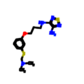 CN(C)CSc1cccc(OCCCNc2nsnc2N)c1